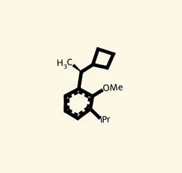 COc1c(C(C)C)cccc1[C@@H](C)C1CCC1